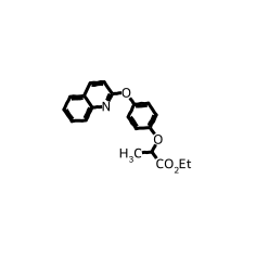 CCOC(=O)C(C)Oc1ccc(Oc2ccc3ccccc3n2)cc1